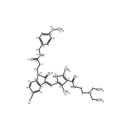 CCN(CC)CCNC(=O)c1c(C)[nH]c(/C=C2\C(=O)N(CCC(=O)NCc3ccc(OC)cc3)c3ccc(F)cc32)c1C